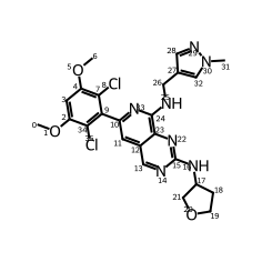 COc1cc(OC)c(Cl)c(-c2cc3cnc(NC4CCOC4)nc3c(NCc3cnn(C)c3)n2)c1Cl